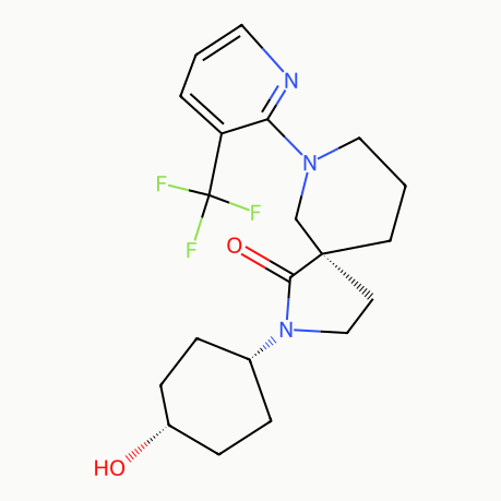 O=C1N([C@H]2CC[C@@H](O)CC2)CC[C@]12CCCN(c1ncccc1C(F)(F)F)C2